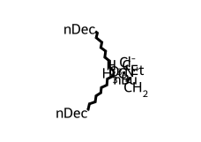 C=CC[N+](C)(C)CC.CCCCCCCCCCCCCCCCCCOC(CCCC)CCCCCCCCCCCCCCCCCC.[Cl-]